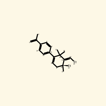 C=C(C)c1ccc(C2=CC[C@](C)(CC)/C(=C\CC)C2(C)C)cc1